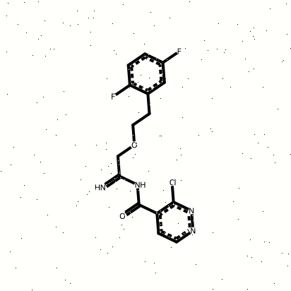 N=C(COCCc1cc(F)ccc1F)NC(=O)c1ccnnc1Cl